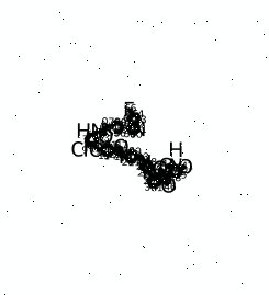 C[C@@H](C(=O)Nc1ccc(Cl)c(OC2CCN(C(=O)CN3CCC(CN4CCN(c5cccc6c5C(=O)N(C5CCC(=O)NC5=O)C6=O)CC4)CC3)CC2)c1)[C@H]1CC[C@@H](c2ccnc3ccc(F)cc32)CC1